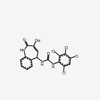 O=C(Nc1c(Cl)cc(Cl)c(Cl)c1Cl)NC1C=C(O)C(=O)Nc2ccccc21